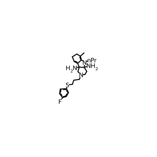 CCCN1C2=C(C)CCC=C2C2(N)CN(CCCSc3ccc(F)cc3)CCC12N